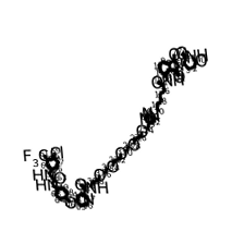 O=C1CCC(N2C(=O)c3cccc(NC(=O)CCCCCn4cc(COCCOCCOCCOCCOCCNC(=O)c5cc(Oc6ccc(NC(=O)Nc7ccc(Cl)c(C(F)(F)F)c7)cc6)ccn5)nn4)c3C2=O)C(=O)N1